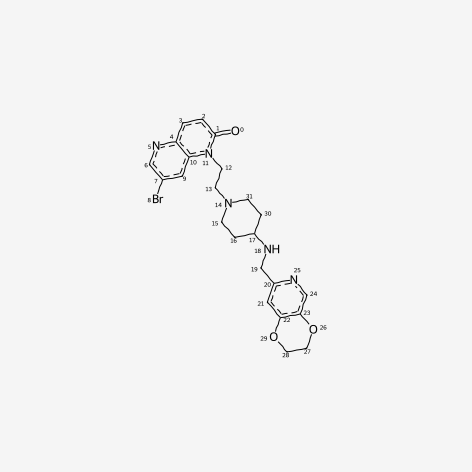 O=c1ccc2ncc(Br)cc2n1CCN1CCC(NCc2cc3c(cn2)OCCO3)CC1